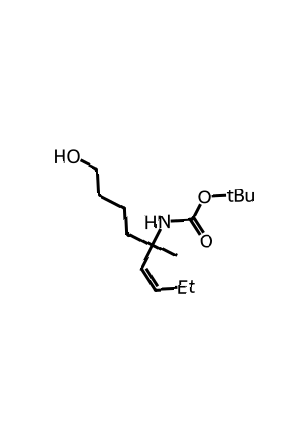 CC/C=C\C(C)(CCCCO)NC(=O)OC(C)(C)C